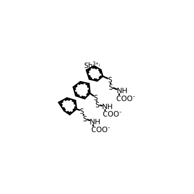 O=C([O-])NSSc1ccccc1.O=C([O-])NSSc1ccccc1.O=C([O-])NSSc1ccccc1.[Sb+3]